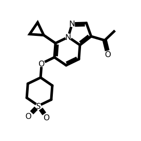 CC(=O)c1cnn2c(C3CC3)c(OC3CCS(=O)(=O)CC3)ccc12